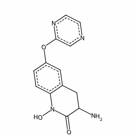 NC1Cc2cc(Oc3cnccn3)ccc2N(O)C1=O